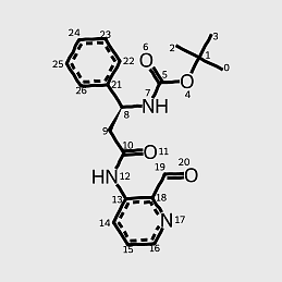 CC(C)(C)OC(=O)N[C@@H](CC(=O)Nc1cccnc1C=O)c1ccccc1